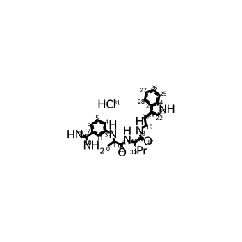 CC(Nc1cccc(C(=N)N)c1)C(=O)NC(C(=O)NCCc1c[nH]c2ccccc12)C(C)C.Cl